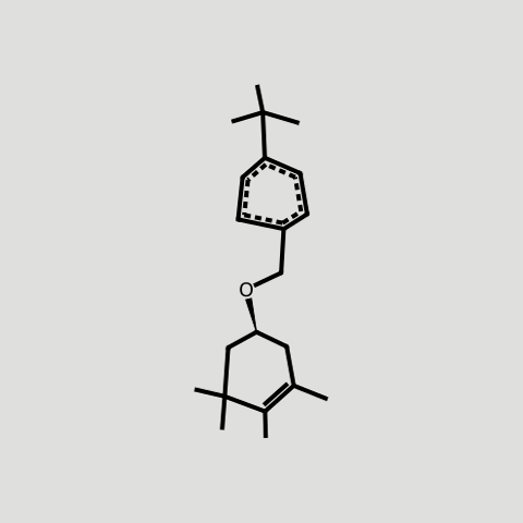 CC1=C(C)C(C)(C)C[C@@H](OCc2ccc(C(C)(C)C)cc2)C1